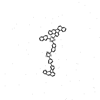 c1ccc2cc(-c3nc(-c4ccc5ccc(-c6ncnc(-c7ccc(-c8ccc9c(c8)-c8c%10ccccc%10cc%10cccc-9c8%10)cc7)n6)cc5c4)nc(-c4ccc5c6c(cc7ccccc7c46)-c4ccc6ccccc6c4-5)n3)ccc2c1